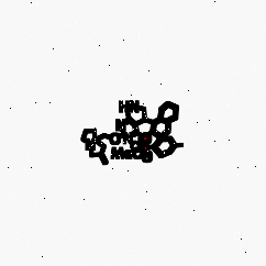 C=C1CN2CCCC2(COc2nc3c(c(OS(=O)(=O)c4ccc(C)cc4)n2)C(c2c(OCOC)ccc4ccccc24)CNC3)C1